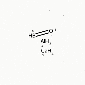 B=O.[AlH3].[CaH2]